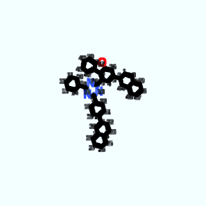 C1=CC(c2cc(-c3nc(-c4ccccc4)nc(-c4ccc(-c5ccc6ccccc6c5)cc4)n3)c3c(c2)oc2ccccc23)Cc2ccccc21